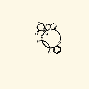 C[C@@H]1C[C@@]2(COCC(=O)N2)[C@@H]2CO[C@H]3CC[C@H](CC3)c3ccccc3OCCCC(=O)N12